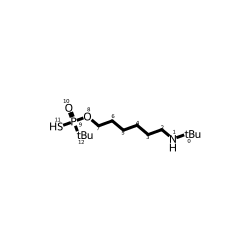 CC(C)(C)NCCCCCCOP(=O)(S)C(C)(C)C